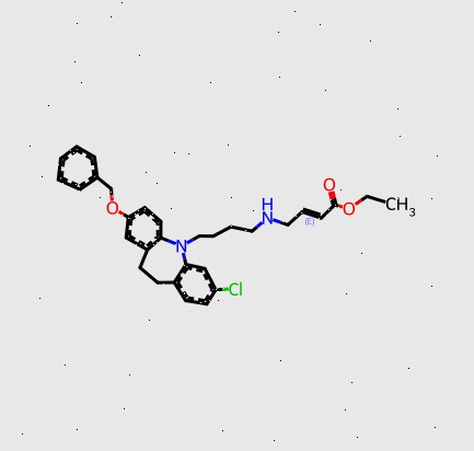 CCOC(=O)/C=C/CNCCCCN1c2ccc(OCc3ccccc3)cc2CCc2ccc(Cl)cc21